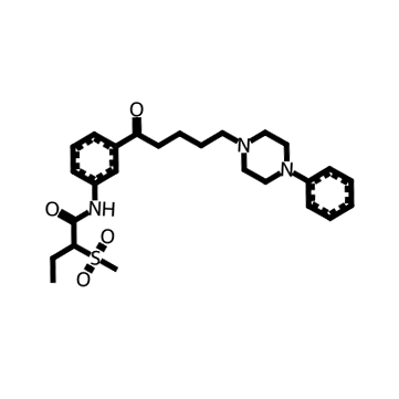 CCC(C(=O)Nc1cccc(C(=O)CCCCN2CCN(c3ccccc3)CC2)c1)S(C)(=O)=O